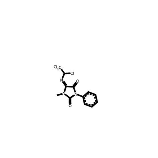 CN1C(=O)N(c2ccccc2)C(=O)C1=NC(Cl)C(Cl)(Cl)Cl